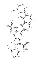 CCS(=O)(=O)Nc1cc2oc(-n3ccccc3=O)c(C(=O)NC)c2cc1-c1ccc2ncn3c4cccc(F)c4cc3c2n1